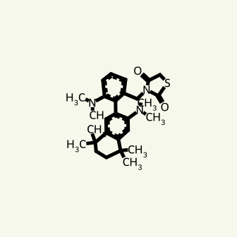 CN(C)c1cc2c(cc1-c1c(CN3C(=O)CSC3=O)cccc1N(C)C)C(C)(C)CCC2(C)C